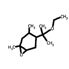 CCOC(C)(C)C1CC2OC2(C)CC1C